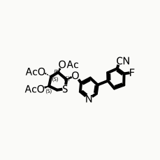 CC(=O)O[C@@H]1[C@@H](OC(C)=O)[C@@H](Oc2cncc(-c3ccc(F)c(C#N)c3)c2)SC[C@H]1OC(C)=O